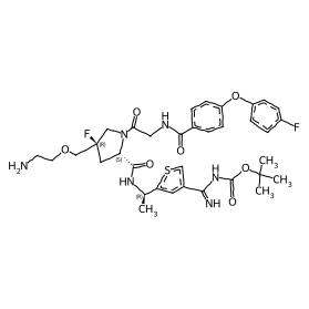 C[C@@H](NC(=O)[C@@H]1C[C@](F)(COCCN)CN1C(=O)CNC(=O)c1ccc(Oc2ccc(F)cc2)cc1)c1cc(C(=N)NC(=O)OC(C)(C)C)cs1